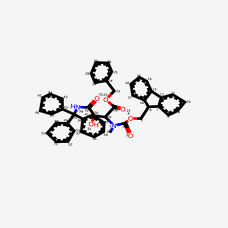 CN(C(=O)OCC1c2ccccc2-c2ccccc21)C(C(=O)OCc1ccccc1)C(O)C(=O)NC(c1ccccc1)(c1ccccc1)c1ccccc1